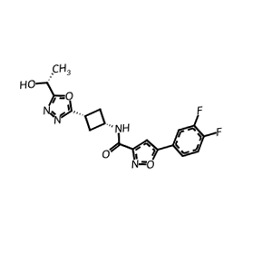 C[C@@H](O)c1nnc([C@H]2C[C@@H](NC(=O)c3cc(-c4ccc(F)c(F)c4)on3)C2)o1